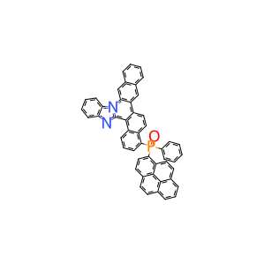 O=P(c1ccccc1)(c1cccc2c1ccc1c3cc4ccccc4cc3n3c4ccccc4nc3c21)c1ccc2ccc3cccc4ccc1c2c34